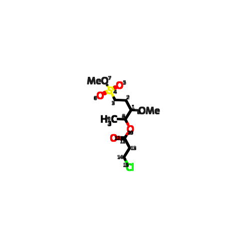 COC(CCS(=O)(=O)OC)C(C)OC(=O)CCCl